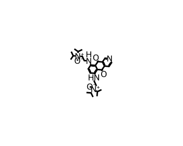 CC(C)[N+]([O-])(CCNc1ccc(NCC[N+]([O-])(C(C)C)C(C)C)c2c1C(=O)c1ccncc1C2=O)C(C)C